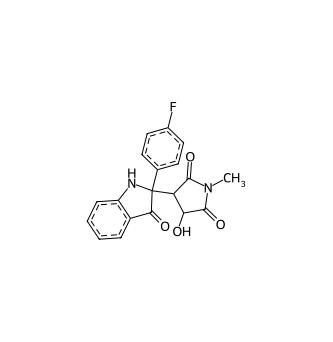 CN1C(=O)C(O)C(C2(c3ccc(F)cc3)Nc3ccccc3C2=O)C1=O